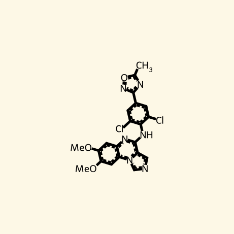 COc1cc2nc(Nc3c(Cl)cc(-c4noc(C)n4)cc3Cl)c3cncn3c2cc1OC